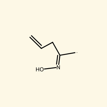 [CH2]C(CC=C)=NO